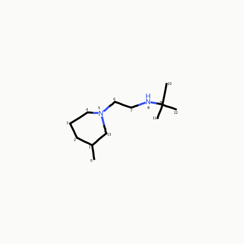 CC1CCCN(CCNC(C)(C)C)C1